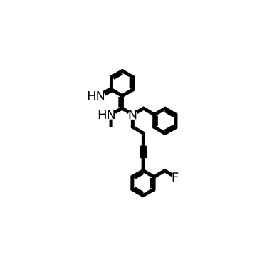 CN/C(=C1/C=CC=CC1=N)N(CCC#Cc1ccccc1CF)Cc1ccccc1